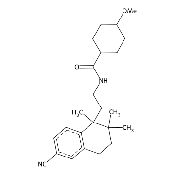 COC1CCC(C(=O)NCCC2(C)c3ccc(C#N)cc3CCC2(C)C)CC1